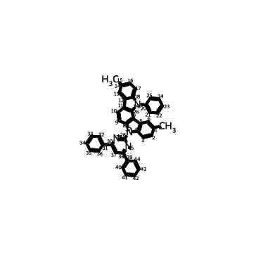 Cc1ccc2c(c1)c1c(ccc3c4cc(C)ccc4n(-c4ccccc4)c31)n2-c1nc(-c2ccccc2)cc(-c2ccccc2)n1